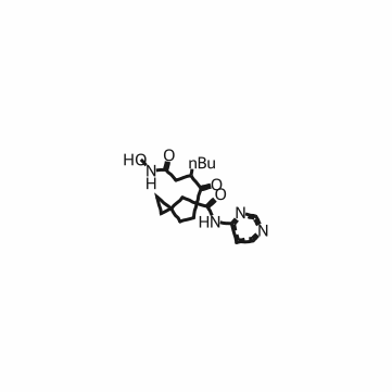 CCCCC(CC(=O)NO)C(=O)C1(C(=O)Nc2ccncn2)CCC2(CC2)C1